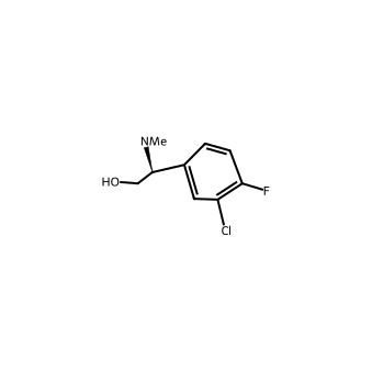 CN[C@H](CO)c1ccc(F)c(Cl)c1